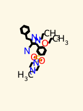 CCCOc1ccc(S(=O)(=O)N2CCN(C)CC2)cc1-c1c(C#N)c(Cc2ccccc2)nn1CCC